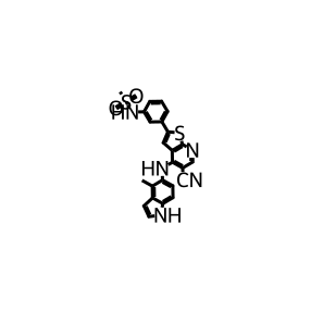 Cc1c(Nc2c(C#N)cnc3sc(-c4cccc(NS(C)(=O)=O)c4)cc23)ccc2[nH]ccc12